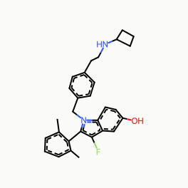 Cc1cccc(C)c1-c1c(F)c2cc(O)ccc2n1Cc1ccc(CCNC2CCC2)cc1